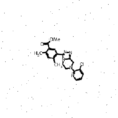 COC(=O)c1cc(-c2nnc3n2CCN(c2ncccc2Cl)C3)c(C)cc1C